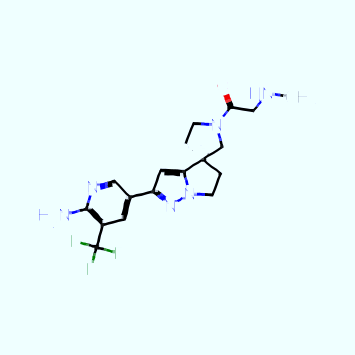 CNCC(=O)N1CC[C@@]2(CCn3nc(-c4cnc(N)c(C(F)(F)F)c4)cc32)C1